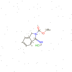 CC(C)(C)OC(=O)N1Cc2ccccc2C1=N.Cl